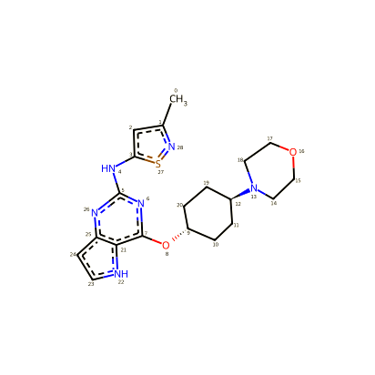 Cc1cc(Nc2nc(O[C@H]3CC[C@H](N4CCOCC4)CC3)c3[nH]ccc3n2)sn1